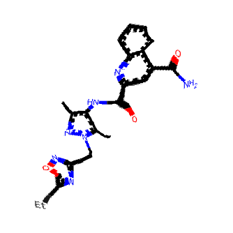 CCc1nc(Cn2nc(C)c(NC(=O)c3cc(C(N)=O)c4ccccc4n3)c2C)no1